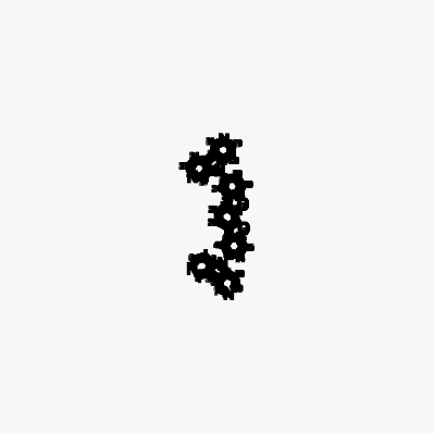 c1cc2c(cn1)c1cnccc1n2-c1ccc2oc3c(ccc4c5cc(-n6c7ccncc7c7ccncc76)ccc5oc43)c2c1